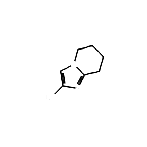 Cc1cn2c(n1)CCCC2